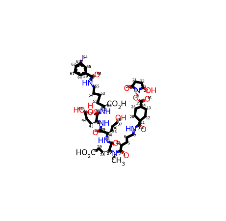 CN(C(=O)CCCCNC(=O)C1CCC(C(=O)ON2C(=O)CCC2O)CC1)[C@H](CCC(=O)O)C(=O)N[C@H](CCCO)C(=O)N[C@H](CCC(O)O)C(=O)N[C@H](CCCCNC(=O)c1cccc(I)c1)C(=O)O